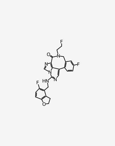 O=C1c2ncn3c(NCc4c(F)ccc5c4CCO5)ncc(c23)-c2ccc(F)cc2CN1CCF